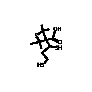 CC1(C)SC(C)(C)C1(C(=O)O)C(S)CCS